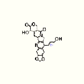 O=C1OCc2c(cc3n(c2=O)Cc2c-3nc3cc4c(cc3c2/C=C/CO)OCO4)C1O